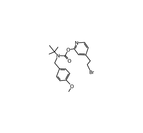 COc1ccc(CN(C(=O)Oc2cc(CCBr)ccn2)C(C)(C)C)cc1